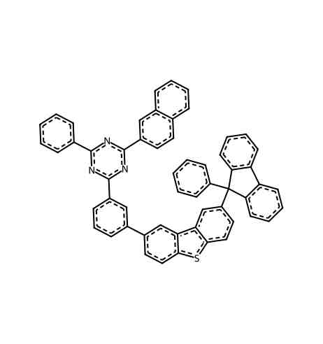 c1ccc(-c2nc(-c3cccc(-c4ccc5sc6ccc(C7(c8ccccc8)c8ccccc8-c8ccccc87)cc6c5c4)c3)nc(-c3ccc4ccccc4c3)n2)cc1